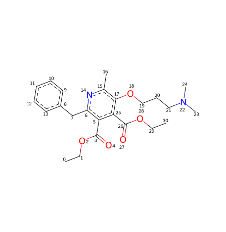 CCOC(=O)c1c(Cc2ccccc2)nc(C)c(OCCCN(C)C)c1C(=O)OCC